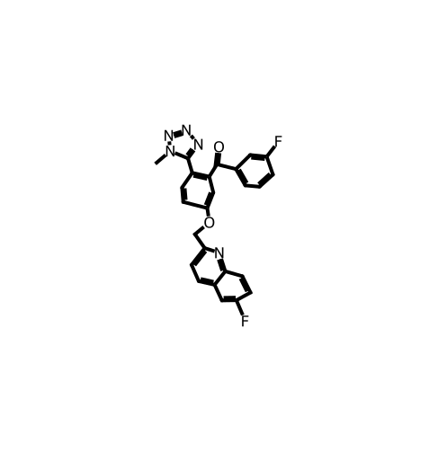 Cn1nnnc1-c1ccc(OCc2ccc3cc(F)ccc3n2)cc1C(=O)c1cccc(F)c1